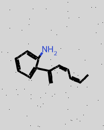 C=C(/C=C\C=C/C)c1ccccc1N